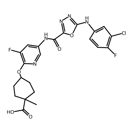 CC1(C(=O)O)CCC(Oc2ncc(NC(=O)c3nnc(Nc4ccc(F)c(Cl)c4)o3)cc2F)CC1